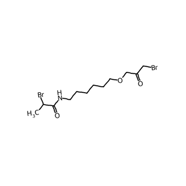 CC(Br)C(=O)NCCCCCCOCC(=O)CBr